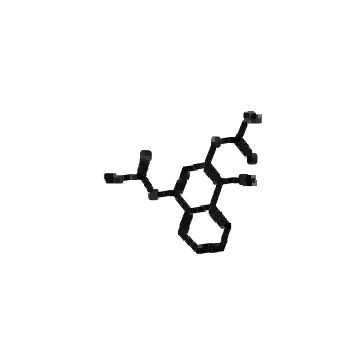 CC(C)(C)C(=O)Oc1cc(OC(=O)C(C)(C)C)c2ccccc2c1O